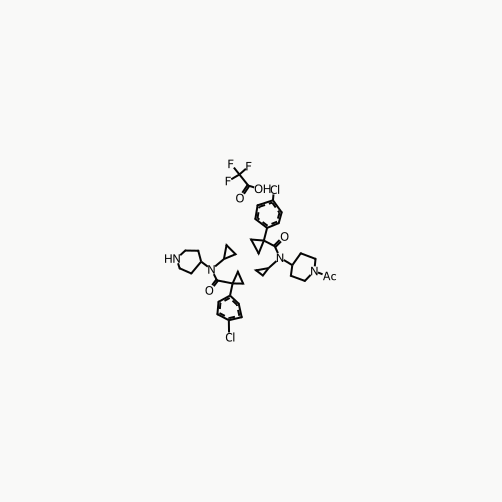 CC(=O)N1CCC(N(C(=O)C2(c3ccc(Cl)cc3)CC2)C2CC2)CC1.O=C(N(C1CCNCC1)C1CC1)C1(c2ccc(Cl)cc2)CC1.O=C(O)C(F)(F)F